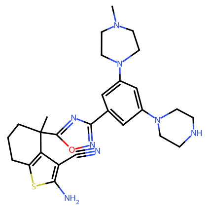 CN1CCN(c2cc(-c3noc(C4(C)CCCc5sc(N)c(C#N)c54)n3)cc(N3CCNCC3)c2)CC1